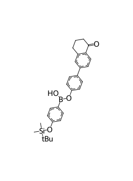 CC(C)(C)[Si](C)(C)Oc1ccc(B(O)Oc2ccc(-c3ccc4c(c3)CCCC4=O)cc2)cc1